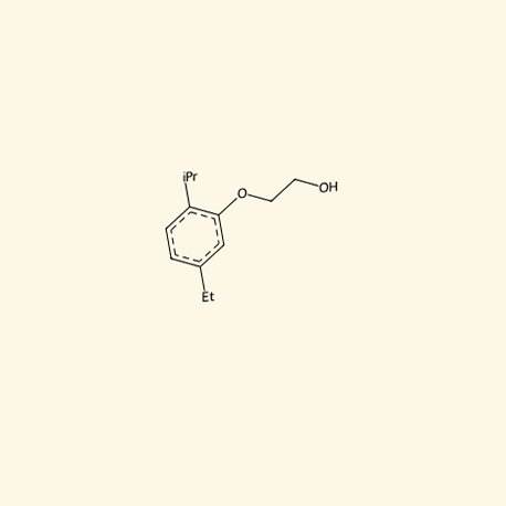 CCc1ccc(C(C)C)c(OCCO)c1